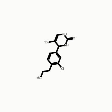 CC(C)(C)CCc1ccc(C2NC(=O)NC=C2C(C)(C)C)cc1Cl